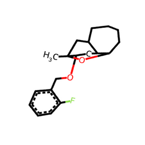 CC12CC3CCCCC(O1)C3CC2OCc1ccccc1F